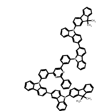 CC1(C)c2ccccc2-c2ccc(-n3c4ccccc4c4cc(-c5ccc6c7ccccc7n(-c7cccc(-c8cc(-c9cccc(-n%10c%11ccccc%11c%11ccc(-c%12ccc%13c(c%12)c%12ccccc%12n%13-c%12ccc%13c(c%12)C(C)(C)c%12ccccc%12-%13)cc%11%10)c9)nc(-c9ccccc9)n8)c7)c6c5)ccc43)cc21